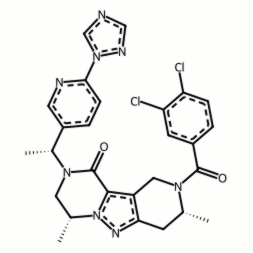 C[C@@H]1Cc2nn3c(c2CN1C(=O)c1ccc(Cl)c(Cl)c1)C(=O)N([C@H](C)c1ccc(-n2cncn2)nc1)C[C@H]3C